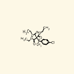 CCOC(=O)C(C(=O)OCC)(C(=O)OCC)[C@H](C)c1ccc(Cl)cc1